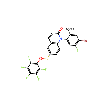 COc1cc(Br)c(F)cc1-n1c(=O)ccc2cc(SOc3c(F)c(F)c(F)c(F)c3F)ccc21